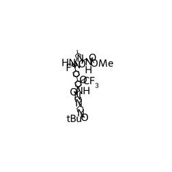 COC(=O)NCC(=O)N1CC(C)CC1c1nc(-c2ccc(-c3ccc(NC(=O)N4CCN(C5CCN(C(=O)C(C)(C)C)CC5)CC4)cc3OC(F)(F)F)cc2)c(F)[nH]1